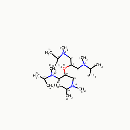 CC(C)N(C)CC(CN(C)C(C)C)OC(CN(C)C(C)C)CN(C)C(C)C